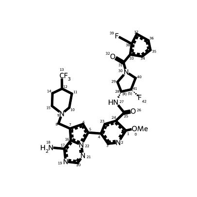 COc1ncc(-c2cc(CN3CCC(C(F)(F)F)CC3)c3c(N)ncnn23)cc1C(=O)N[C@@H]1CN(C(=O)c2ccccc2F)C[C@@H]1F